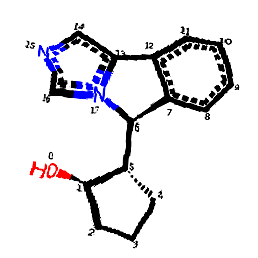 O[C@@H]1CCC[C@H]1[C@@H]1c2ccccc2-c2cncn21